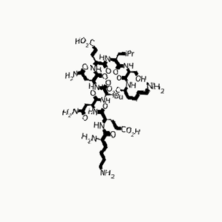 CC[C@H](C)[C@H](NC(=O)[C@H](CC(N)=O)NC(=O)[C@H](CCC(=O)O)NC(=O)[C@@H](N)CCCCN)C(=O)N[C@@H](CC(N)=O)C(=O)N[C@@H](CCC(=O)O)C(=O)N[C@@H](CC(C)C)C(=O)N[C@@H](CO)C(=O)N[C@@H](CCCCN)C(=O)O